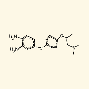 CC(CN(C)C)Oc1ccc(Sc2ccc(N)c(N)c2)cc1